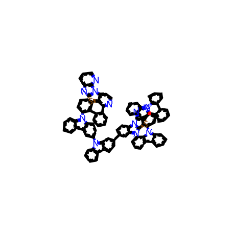 c1ccc(-c2nccc3c2sc2nc4cccnc4n23)c(-c2ccccc2-n2c3ccccc3c3cc(-n4c5ccccc5c5ccc(-c6ccc7c(c6)nc6sc8c(-c9ccccc9-c9ccccc9-n9c%10ccccc%10c%10cc(-n%11c%12ccccc%12c%12ccccc%12%11)ccc%109)ncnc8n67)cc54)ccc32)c1